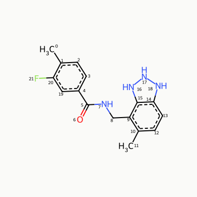 Cc1ccc(C(=O)NCc2c(C)ccc3c2NNN3)cc1F